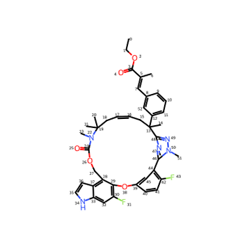 CCOC(=O)/C(C)=C/c1cccc(C2(C)C/C=C\CC(C)(C)N(C)C(=O)OCc3c(c(F)cc4[nH]ccc34)Oc3ccc(F)c(c3)-c3nc2nn3C)c1